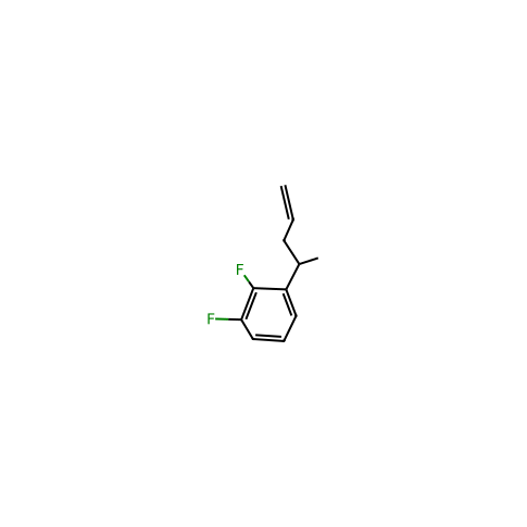 C=CCC(C)c1cccc(F)c1F